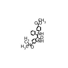 CCN(C)C(=O)c1ccc2c(c1)NC(=O)/C2=C(\Nc1ccc(C(=O)OC)cc1)c1ccccc1